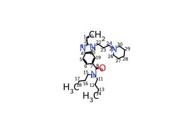 C=Cc1nc2ccc(C(=O)N(CCCC)CCCC)cc2n1CCCN1CCCCC1